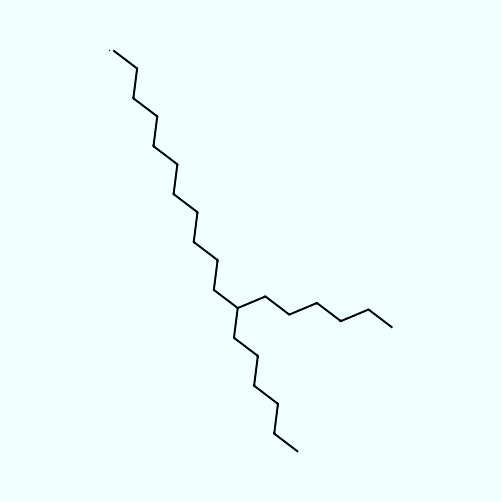 [CH2]CCCCCCCCCCC(CCCCCC)CCCCCC